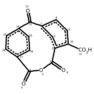 O=C1OC(=O)c2cc(ccc2C(=O)O)C(=O)c2ccc1cc2